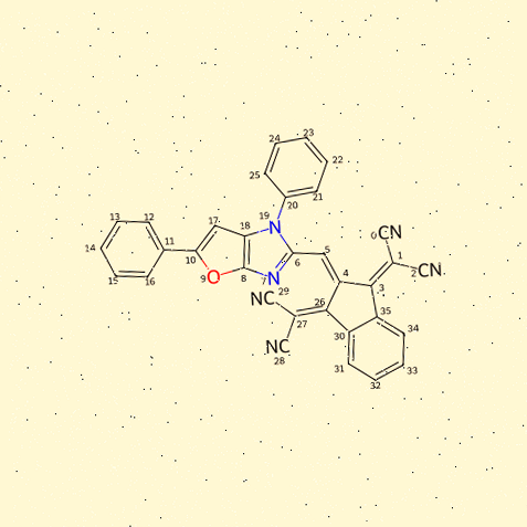 N#CC(C#N)=C1C(=Cc2nc3oc(-c4ccccc4)cc3n2-c2ccccc2)C(=C(C#N)C#N)c2ccccc21